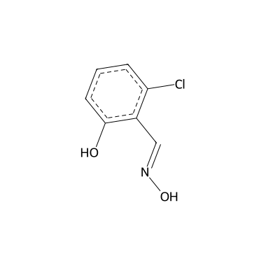 ON=Cc1c(O)cccc1Cl